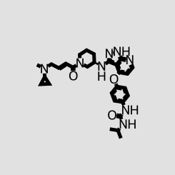 CC(C)NC(=O)Nc1ccc(Oc2ccnc3[nH]nc(N[C@@H]4CCCN(C(=O)/C=C/CN(C)C5CC5)C4)c23)cc1